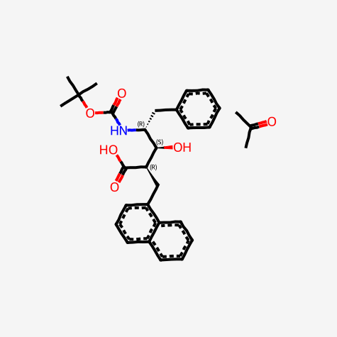 CC(C)(C)OC(=O)N[C@H](Cc1ccccc1)[C@@H](O)[C@@H](Cc1cccc2ccccc12)C(=O)O.CC(C)=O